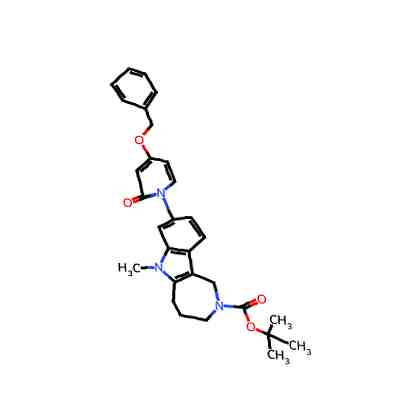 Cn1c2c(c3ccc(-n4ccc(OCc5ccccc5)cc4=O)cc31)CN(C(=O)OC(C)(C)C)CCC2